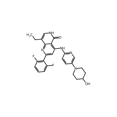 CCc1c[nH]c(=O)c2c(Nc3ccc(N4CCC(O)CC4)cn3)cc(-c3c(F)cccc3F)nc12